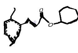 Cc1ccc(C)c(/C=C/C(=O)OC2CCCCC2)c1